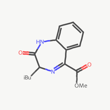 CCC(C)C1N=C(C(=O)OC)c2ccccc2NC1=O